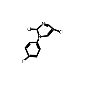 Fc1ccc(N2C=C(Cl)C=NC2Cl)cc1